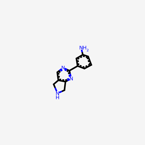 Nc1cccc(-c2ncc3c(n2)CNC3)c1